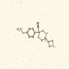 CCc1ccc(C2(C#N)CCN(C3CCC3)CC2)cc1